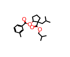 Cc1cccc(C(=O)OC2CCCC2(CC(C)C)C(=O)OCC(C)C)c1